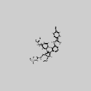 CSc1nc(-c2cccc(NC(=O)c3ccc(F)cc3)c2)c(-c2ccnc(NC(C)=O)c2)n1COCC[Si](C)(C)C